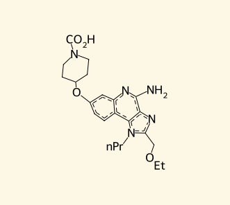 CCCn1c(COCC)nc2c(N)nc3cc(OC4CCN(C(=O)O)CC4)ccc3c21